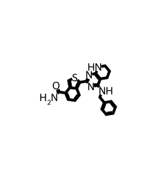 NC(=O)c1cccc2c(-c3nc4c(c(NCc5ccccc5)n3)CCCN4)scc12